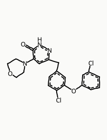 O=c1[nH]nc(Cc2ccc(Cl)c(Oc3cccc(Cl)c3)c2)cc1N1CCOCC1